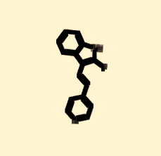 Fc1[nH]c2ccccc2c1/C=C/c1ccncc1